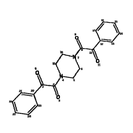 O=C(C(=O)N1CCN(C(=O)C(=O)c2ccccc2)CC1)c1ccccc1